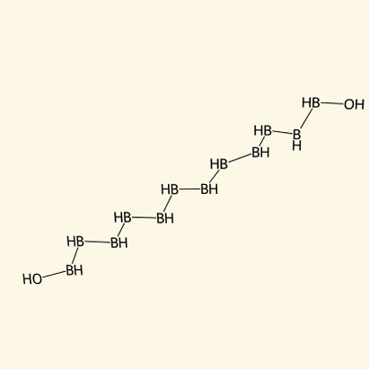 OBBBBBBBBBBBBO